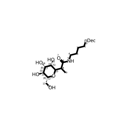 CCCCCCCCCCCCCCNC(=O)C(C)C1O[C@H](CO)[C@@H](O)[C@H](O)[C@@H]1O